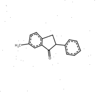 Cc1ccc2c(c1)C(=O)C(c1ccccc1)C2